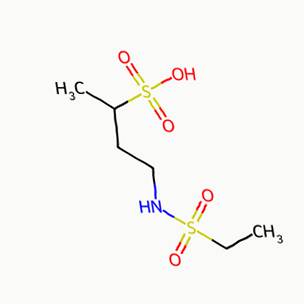 CCS(=O)(=O)NCCC(C)S(=O)(=O)O